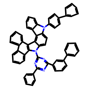 c1ccc(-c2ccc(-n3c4ccccc4c4c5c6c7ccccc7c7ccccc7c6n(-c6nc(-c7ccccc7)nc(-c7cccc(-c8ccccc8)c7)n6)c5ccc43)cc2)cc1